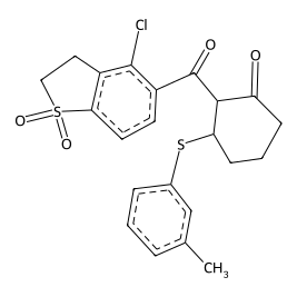 Cc1cccc(SC2CCCC(=O)C2C(=O)c2ccc3c(c2Cl)CCS3(=O)=O)c1